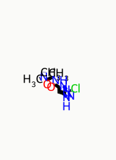 CC(NC(=O)c1cc2[nH]nc(Cl)n2n1)C(=O)N(C)C